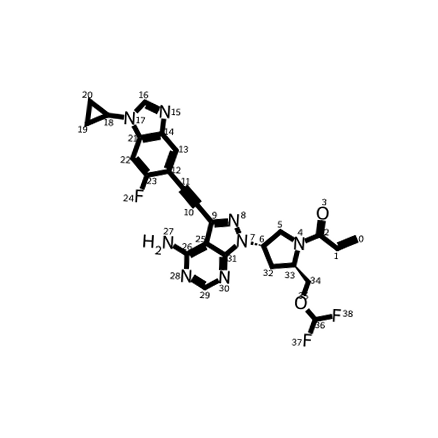 C=CC(=O)N1C[C@@H](n2nc(C#Cc3cc4ncn(C5CC5)c4cc3F)c3c(N)ncnc32)C[C@@H]1COC(F)F